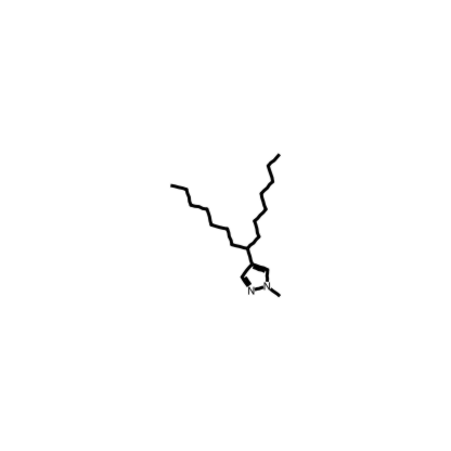 CCCCCCCC(CCCCCCC)c1cnn(C)c1